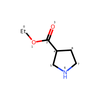 CCOC(=O)C1[CH]NCC1